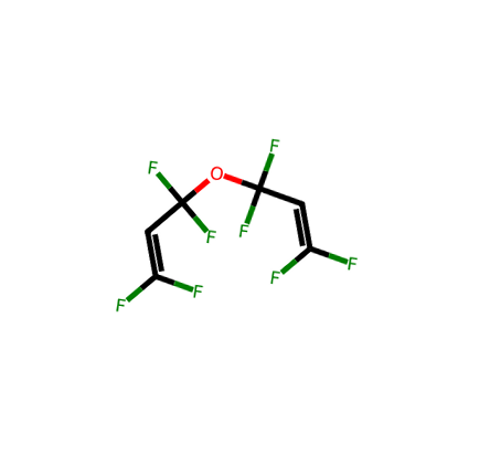 FC(F)=CC(F)(F)OC(F)(F)C=C(F)F